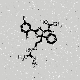 CC(=O)N=C(C)NOCCC1(c2ccccc2)SC(c2cc(F)ccc2F)=NN1C(=O)C(C)O